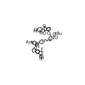 CC(=O)N1CCc2c(c(N3CCCc4cc(-c5cnn(C)c5)c(C(F)F)cc43)nn2C2CCN(CCN3CCN(C(=O)OC(C)(C)C)C(COc4cccc5c4C(=O)N(C4CCC(=O)NC4=O)C5=O)C3)CC2)C1